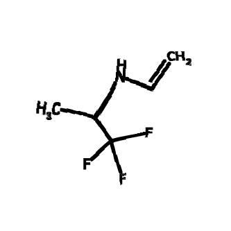 C=CNC(C)C(F)(F)F